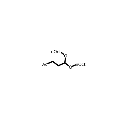 CCCCCCCCOC(CCC(C)=O)OCCCCCCCC